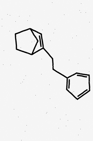 C1=C(CCc2ccccc2)C2CCC1C2